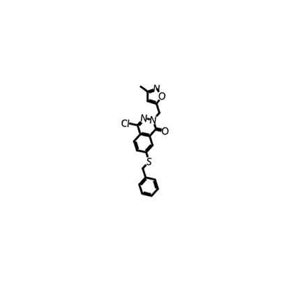 Cc1cc(Cn2nc(Cl)c3ccc(SCc4ccccc4)cc3c2=O)on1